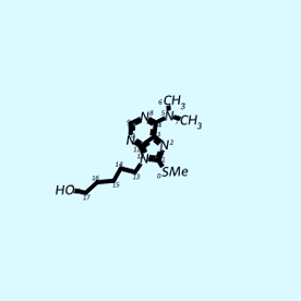 CSc1nc2c(N(C)C)ncnc2n1CCCCCO